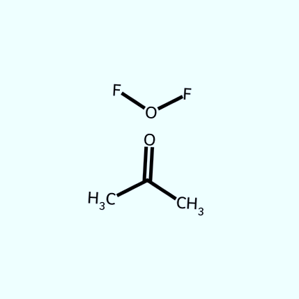 CC(C)=O.FOF